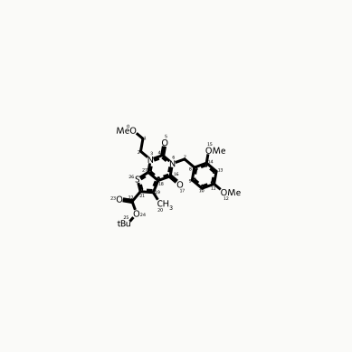 COCCn1c(=O)n(Cc2ccc(OC)cc2OC)c(=O)c2c(C)c(C(=O)OC(C)(C)C)sc21